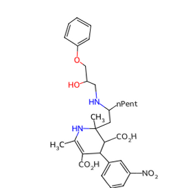 CCCCCC(CC1(C)NC(C)=C(C(=O)O)C(c2cccc([N+](=O)[O-])c2)C1C(=O)O)NCC(O)COc1ccccc1